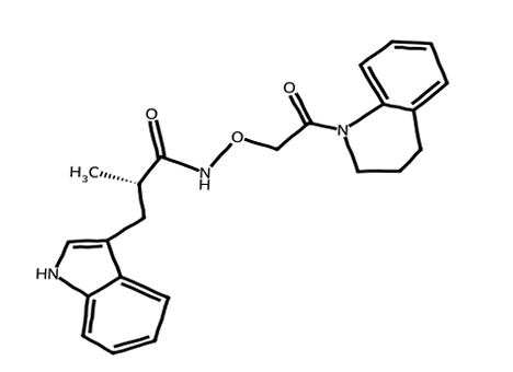 C[C@@H](Cc1c[nH]c2ccccc12)C(=O)NOCC(=O)N1CCCc2ccccc21